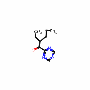 CCCC(CC)C(=O)c1ncncn1